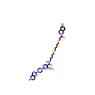 CCc1ccc2c(c1)CCN(C(=O)CCOCCCCCOCCCCCNC(=O)c1cnc(N3CCN(c4ncc5c(n4)CCN(C)C5)CC3)nc1N)C2